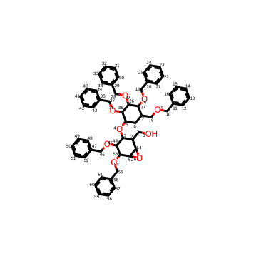 OCC1C(OC2CC(COCc3ccccc3)C(OCc3ccccc3)C(OCc3ccccc3)C2OCc2ccccc2)C(OCc2ccccc2)C(OCc2ccccc2)C2OC12